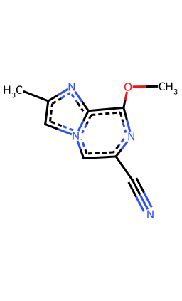 COc1nc(C#N)cn2cc(C)nc12